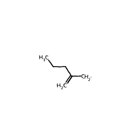 [CH2]C(=C)CCC